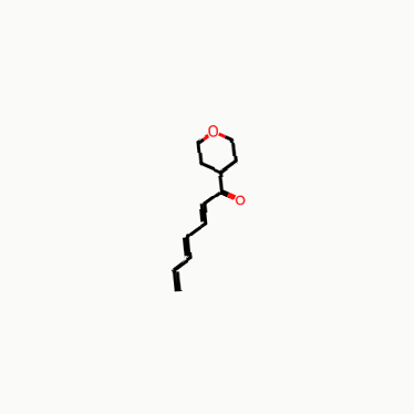 C=CC=CC=CC(=O)C1CCOCC1